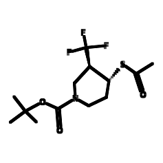 CC(=O)S[C@@H]1CCN(C(=O)OC(C)(C)C)C[C@H]1C(F)(F)F